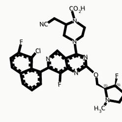 CN1CC[C@H](F)[C@@H]1COc1nc(N2CCN(C(=O)O)C(CC#N)C2)c2cnc(-c3cccc4ccc(F)c(Cl)c34)c(F)c2n1